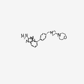 Nc1nc2cccc(-c3ccc(CN4CC(N5CCOCC5)C4)cc3)n2n1